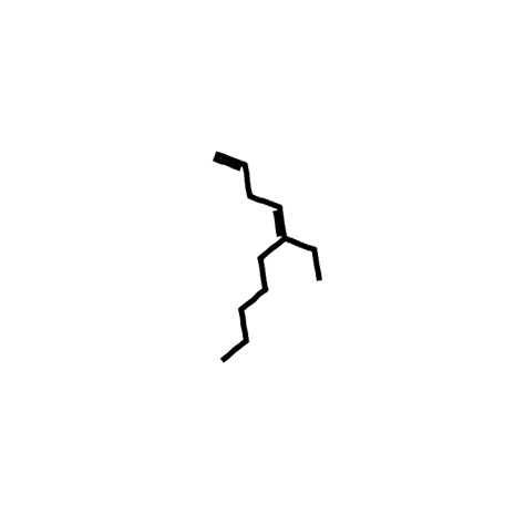 C=CCC=C(CC)CCCCC